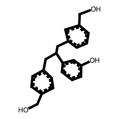 OCc1ccc(C[C](Cc2cccc(CO)c2)c2cccc(O)c2)cc1